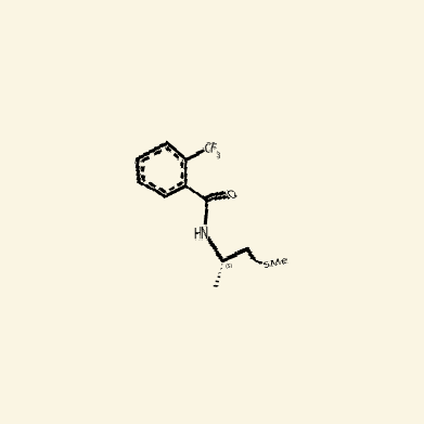 CSC[C@H](C)NC(=O)c1ccccc1C(F)(F)F